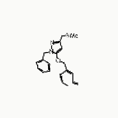 C=C/C=C(\C=C/C)COc1cc(CNC)nn1Cc1ccccc1